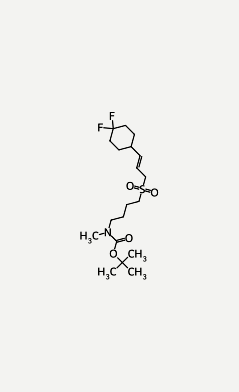 CN(CCCCS(=O)(=O)CC=CC1CCC(F)(F)CC1)C(=O)OC(C)(C)C